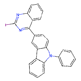 Ic1nc(-c2ccc3c(c2)c2ccccc2n3-c2ccccc2)c2ccccc2n1